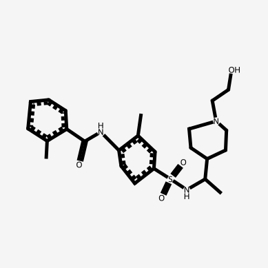 Cc1cc(S(=O)(=O)NC(C)C2CCN(CCO)CC2)ccc1NC(=O)c1ccccc1C